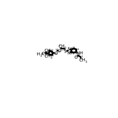 C=C(CSc1nc2cc(NC(=O)CC)ccc2s1)OCOc1ccc(C(C)(C)C)cc1